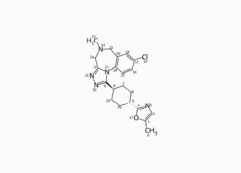 Cc1cnc([C@H]2CC[C@H](c3nnc4n3-c3ccc(Cl)cc3CN(C)C4)CC2)o1